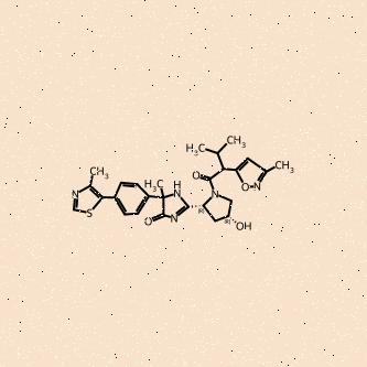 Cc1cc(C(C(=O)N2C[C@H](O)C[C@@H]2C2=NC(=O)C(C)(c3ccc(-c4scnc4C)cc3)N2)C(C)C)on1